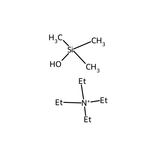 CC[N+](CC)(CC)CC.C[Si](C)(C)O